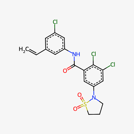 C=Cc1cc(Cl)cc(NC(=O)c2cc(N3CCCS3(=O)=O)cc(Cl)c2Cl)c1